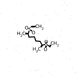 C=CS(=O)(=O)C(=C)CCCCC(=C)S(=O)(=O)C=C